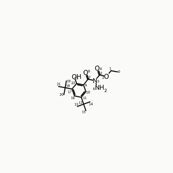 CCOC(=O)N(N)C(=O)c1cc(C(C)(C)C)cc(C(C)(C)C)c1O